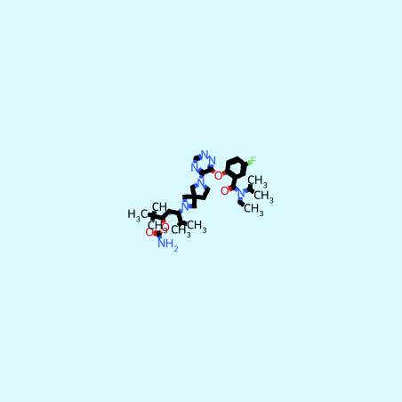 CCN(C(=O)c1cc(F)ccc1Oc1nncnc1N1CCC2(C1)CN(C(CC(OC(N)=O)C(C)(C)C)C(C)C)C2)C(C)C